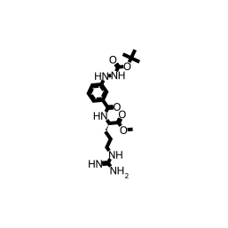 COC(=O)[C@H](CCCNC(=N)N)NC(=O)c1cccc(NNC(=O)OC(C)(C)C)c1